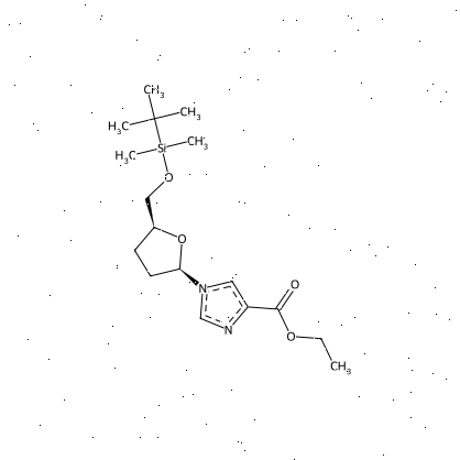 CCOC(=O)c1cn([C@H]2CC[C@@H](CO[Si](C)(C)C(C)(C)C)O2)cn1